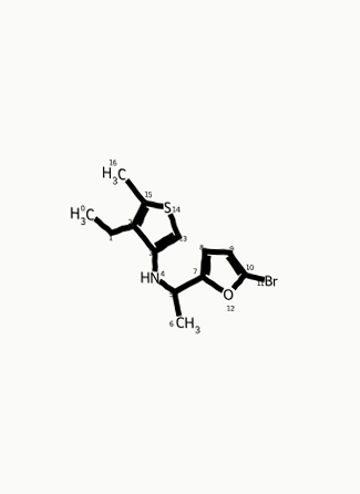 CCc1c(NC(C)c2ccc(Br)o2)csc1C